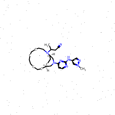 CC(CC#N)N1CCCCCCCCCC[C@H]2CC[C@@H]1CN(c1ccnc(Nc3cnn(C)c3)n1)C2